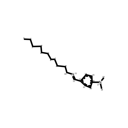 CCCCCCCCCCCN=Cc1ccc(N(C)C)cc1